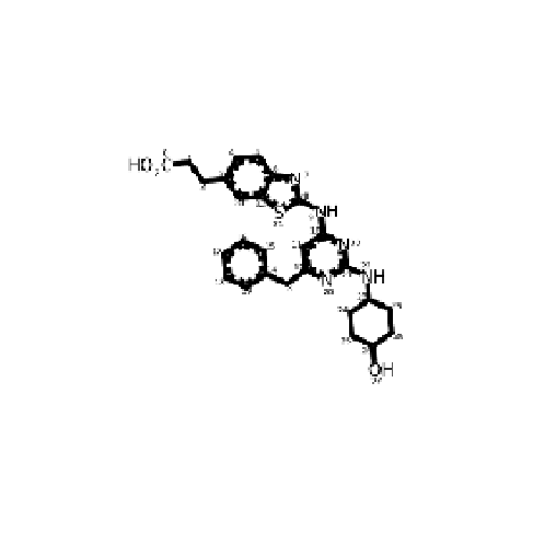 O=C(O)CCc1ccc2nc(Nc3cc(Cc4ccccc4)nc(NC4CCC(O)CC4)n3)sc2c1